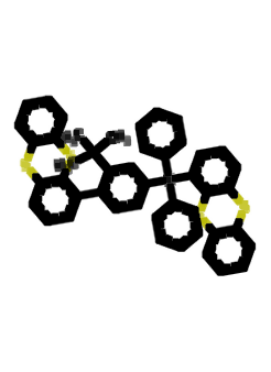 CC(C)(C)c1cc([Si](c2ccccc2)(c2ccccc2)c2cccc3c2Sc2ccccc2S3)ccc1-c1cccc2c1Sc1ccccc1S2